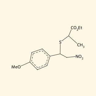 CCOC(=O)C(C)SC(C[N+](=O)[O-])c1ccc(OC)cc1